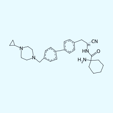 N#C[C@@H](Cc1ccc(-c2ccc(CN3CCN(C4CC4)CC3)cc2)cc1)NC(=O)C1(N)CCCCC1